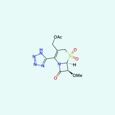 CO[C@H]1C(=O)N2C(c3nnn[nH]3)=C(COC(C)=O)CS(=O)(=O)[C@@H]12